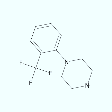 FC(F)(F)c1ccccc1N1CC[N]CC1